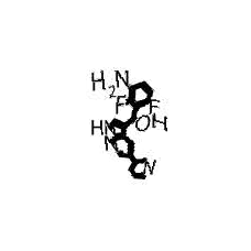 Nc1ccc(F)c(C(O)c2c[nH]c3ncc(-c4cccnc4)cc23)c1F